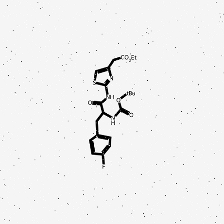 CCOC(=O)Cc1csc(NC(=O)C(Cc2ccc(F)cc2)NC(=O)OC(C)(C)C)n1